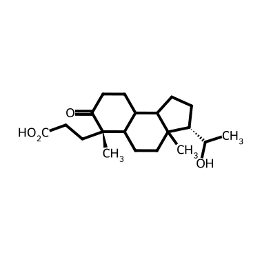 CC(O)[C@H]1CCC2C3CCC(=O)[C@@](C)(CCC(=O)O)C3CCC21C